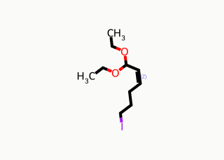 CCOC(/C=C\CCCI)OCC